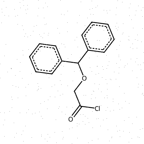 O=C(Cl)COC(c1ccccc1)c1ccccc1